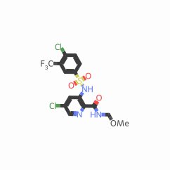 COCNC(=O)c1ncc(Cl)cc1NS(=O)(=O)c1ccc(Cl)c(C(F)(F)F)c1